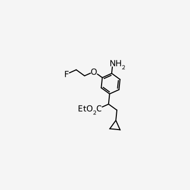 CCOC(=O)C(CC1CC1)c1ccc(N)c(OCCF)c1